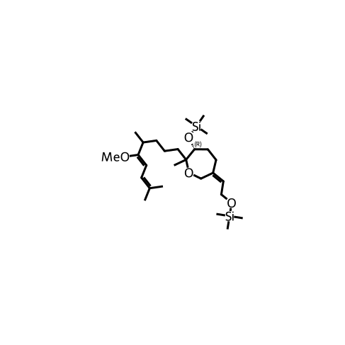 COC(=CC=C(C)C)C(C)CCCC1(C)OCC(=CCO[Si](C)(C)C)CC[C@H]1O[Si](C)(C)C